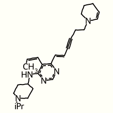 C/C=C\c1c(/C=C/C#CCCN2C=CCCC2)ncnc1NC1CCN(C(C)C)CC1